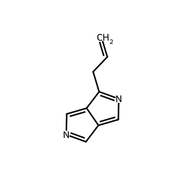 C=CCC1=NC=C2C=NC=C21